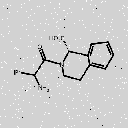 CC(C)C(N)C(=O)N1CCc2ccccc2[C@H]1C(=O)O